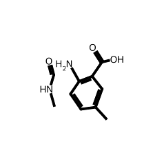 CNC=O.Cc1ccc(N)c(C(=O)O)c1